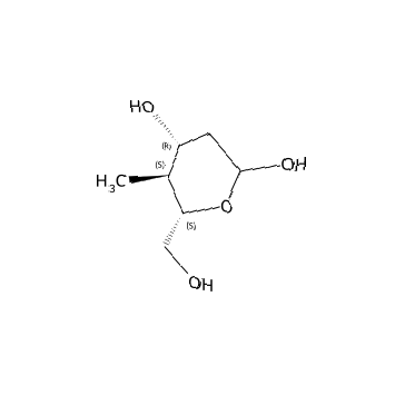 C[C@H]1[C@H](O)CC(O)O[C@@H]1CO